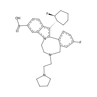 O=C(O)c1ccc2c([C@H]3CCCC[C@@H]3F)c3n(c2c1)CCN(CCN1CCCC1)Cc1cc(F)ccc1-3